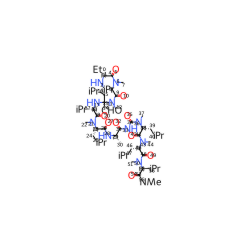 CC[C@@H](NC(C)C)C(=O)N(C)CC(=O)N(C)C(C=O)(CC(C)C)N[C@H](C(=O)N(C)[C@@H](CC(C)C)C(=O)N[C@@H](C)C(=O)NC(=O)N(C)[C@H](CC(C)C)C(=O)N(C)[C@@H](CC(C)C)C(=O)N(C)[C@H](C(=O)NC)C(C)C)C(C)C